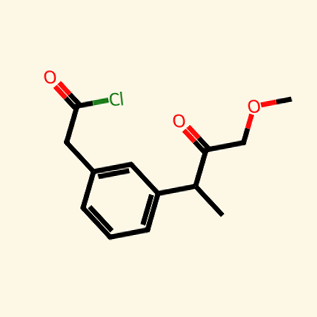 COCC(=O)C(C)c1cccc(CC(=O)Cl)c1